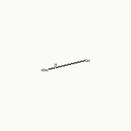 CCCCCCCCCCCCCCNCCCCCCCCCCCCCCCCCCO